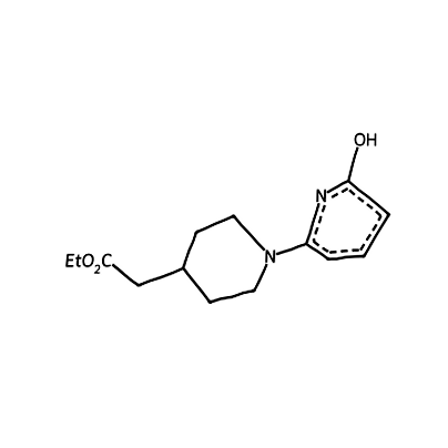 CCOC(=O)CC1CCN(c2cccc(O)n2)CC1